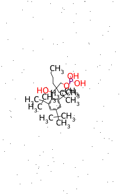 CCCCC(CC)(COP(O)O)C(O)c1c(C(C)(C)C)cc(C(C)(C)C)cc1C(C)(C)C